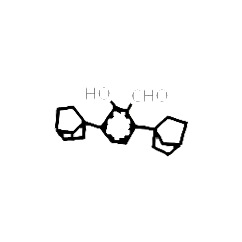 O=Cc1c(C23CCC(CC2)C3)ccc(C23CCC(CC2)C3)c1O